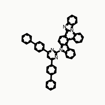 c1ccc(-c2ccc(-c3cc(-c4ccc(-c5ccccc5)cc4)nc(-n4c5ccccc5c5c6c7ccccc7n7c8ccccc8nc7c6ccc54)n3)cc2)cc1